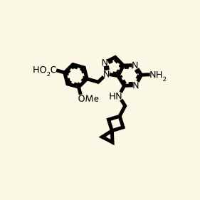 COc1cc(C(=O)O)ccc1Cn1ncc2nc(N)nc(NCC3CC4(CC4)C3)c21